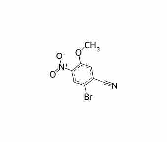 COc1cc(C#N)c(Br)cc1[N+](=O)[O-]